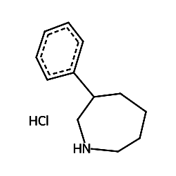 Cl.c1ccc(C2CCCCNC2)cc1